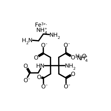 NC(CC(=O)[O-])(CC(=O)[O-])C(CC(=O)[O-])(CC(=O)[O-])NCC(=O)[O-].NCCN.O.[Fe+3].[NH4+].[NH4+]